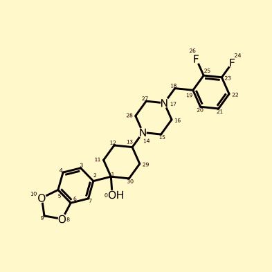 OC1(c2ccc3c(c2)OCO3)CCC(N2CCN(Cc3cccc(F)c3F)CC2)CC1